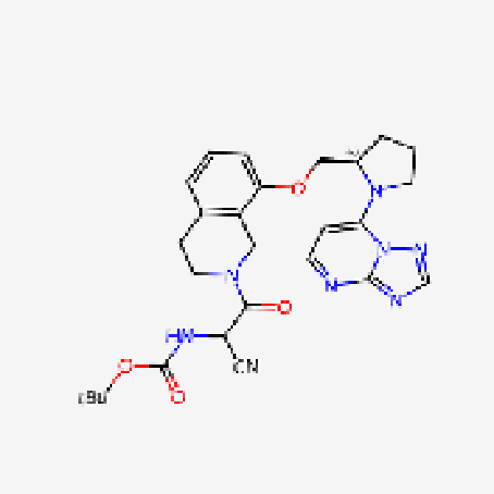 CC(C)(C)OC(=O)NC(C#N)C(=O)N1CCc2cccc(OC[C@H]3CCCN3c3ccnc4ncnn34)c2C1